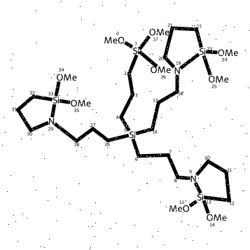 CO[Si](CCC[Si](CCCN1CCC[Si]1(OC)OC)(CCCN1CCC[Si]1(OC)OC)CCCN1CCC[Si]1(OC)OC)(OC)OC